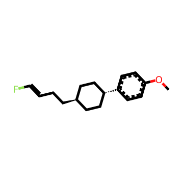 COc1ccc([C@H]2CC[C@H](CCC=CF)CC2)cc1